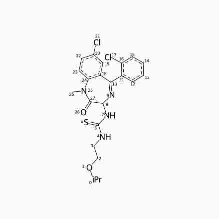 CC(C)OCCNC(=S)NC1N=C(c2ccccc2Cl)c2cc(Cl)ccc2N(C)C1=O